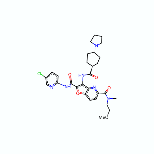 COCCN(C)C(=O)c1ccc2oc(C(=O)Nc3ccc(Cl)cn3)c(NC(=O)[C@H]3CC[C@H](N4CCCC4)CC3)c2n1